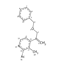 C=C(COCc1ccccc1)c1ccnc(C(C)=O)c1C